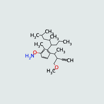 C#CC(COC)C(C)c1ccc(ON)c(C)c1C(CCC)C(C)CC(C)C